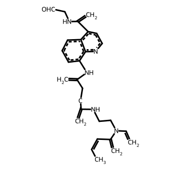 C=CN(CCNC(=C)CCC(=C)Nc1cccc2c(C(=C)NCC=O)ccnc12)C(=C)/C=C\C